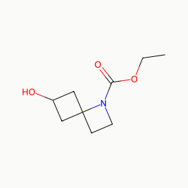 CCOC(=O)N1CCC12CC(O)C2